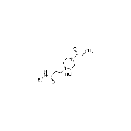 C=CC(=O)N1CCN(CCC(=O)NCC)CC1.Cl